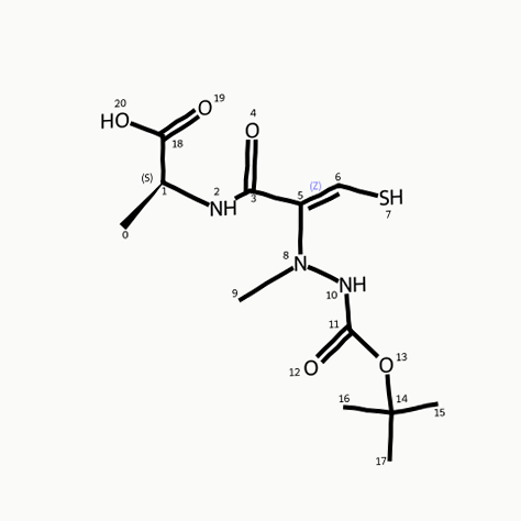 C[C@H](NC(=O)/C(=C/S)N(C)NC(=O)OC(C)(C)C)C(=O)O